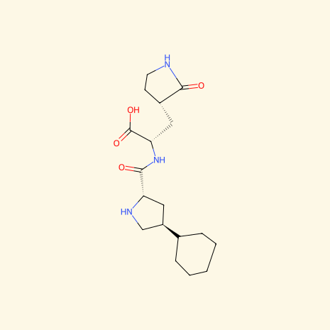 O=C1NCC[C@H]1C[C@H](NC(=O)[C@@H]1C[C@@H](C2CCCCC2)CN1)C(=O)O